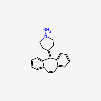 NN1CCC(=C2c3ccccc3C=Cc3ccccc32)CC1